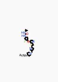 CC(=O)NC1CCN(Cc2ccc(-c3cc4nccc(Oc5ccc(NC(=O)NC6CC6)cc5F)c4s3)nc2)CC1